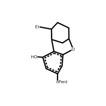 CCCCCc1cc(O)c2c(c1)OC1CCC(CC)C2C1